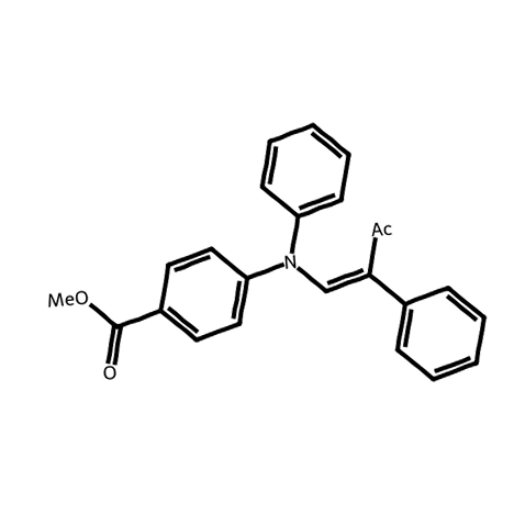 COC(=O)c1ccc(N(/C=C(\C(C)=O)c2ccccc2)c2ccccc2)cc1